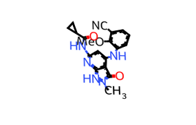 COc1c(C#N)cccc1Nc1cc(NC(=O)C2CC2)nc2[nH]n(C)c(=O)c12